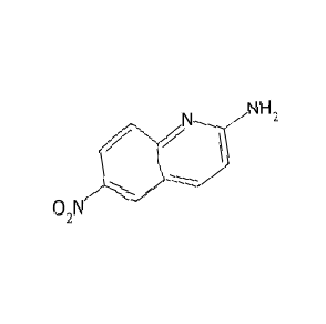 Nc1ccc2cc([N+](=O)[O-])ccc2n1